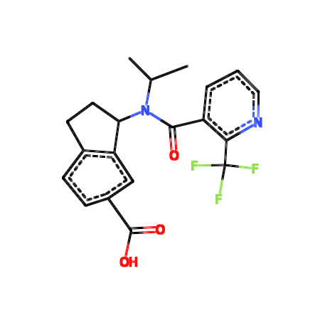 CC(C)N(C(=O)c1cccnc1C(F)(F)F)C1CCc2ccc(C(=O)O)cc21